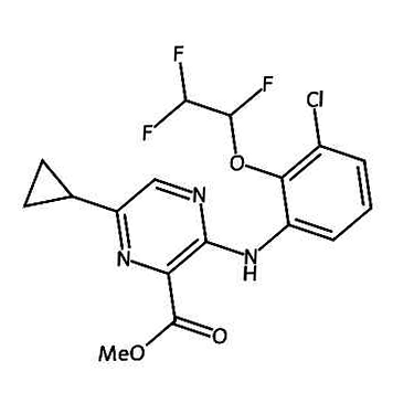 COC(=O)c1nc(C2CC2)cnc1Nc1cccc(Cl)c1OC(F)C(F)F